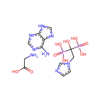 NCC(=O)O.Nc1ncnc2[nH]cnc12.O=P(O)(O)C(O)(Cn1ccnc1)P(=O)(O)O